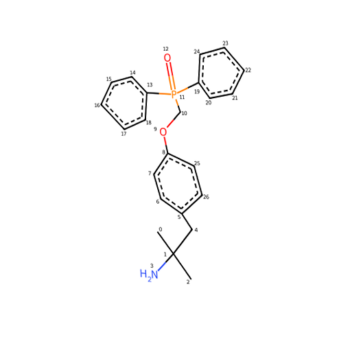 CC(C)(N)Cc1ccc(OCP(=O)(c2ccccc2)c2ccccc2)cc1